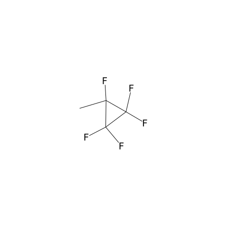 CC1(F)C(F)(F)C1(F)F